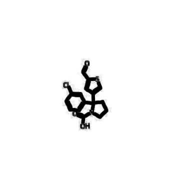 O=Cc1cc(C2(c3cccc(Cl)c3)CCCN2C(=O)O)cs1